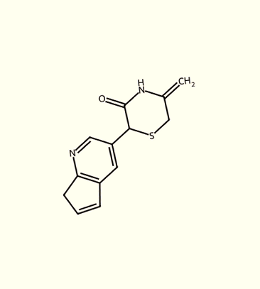 C=C1CSC(c2cnc3c(c2)C=CC3)C(=O)N1